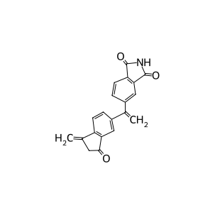 C=C(c1ccc2c(c1)C(=O)CC2=C)c1ccc2c(c1)C(=O)NC2=O